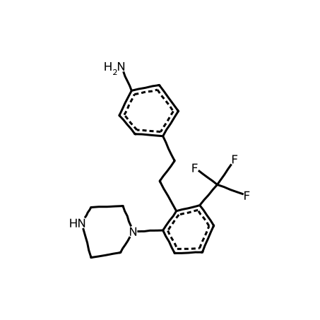 Nc1ccc(CCc2c(N3CCNCC3)cccc2C(F)(F)F)cc1